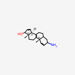 C[C@]12C=CC(N)CC1CCC1=C2CC[C@]2(C)C(O)C=C[C@@H]12